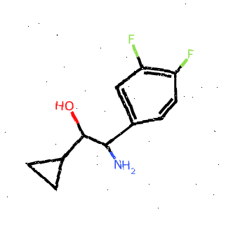 NC(c1ccc(F)c(F)c1)C(O)C1CC1